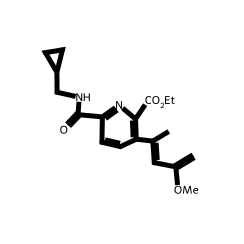 C=C(/C=C(\C)c1ccc(C(=O)NCC2CC2)nc1C(=O)OCC)OC